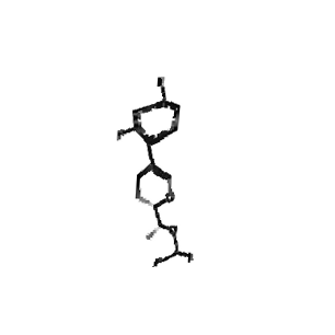 C[C@@H](OC(F)F)[C@@H]1CCC(c2ccc(F)cc2F)=CO1